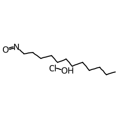 CCCCCCCCCCCCN=O.OCl